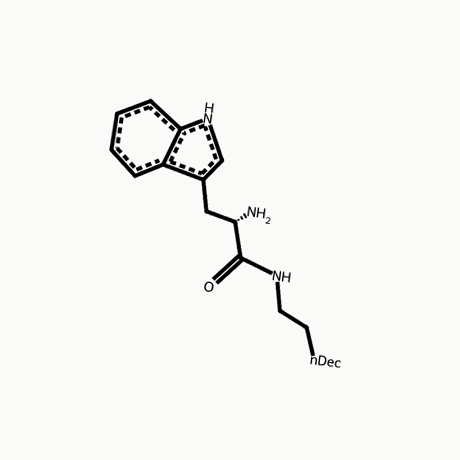 CCCCCCCCCCCCNC(=O)[C@@H](N)Cc1c[nH]c2ccccc12